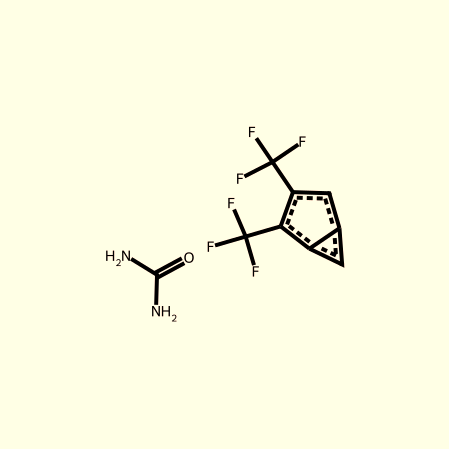 FC(F)(F)c1cc2cc-2c1C(F)(F)F.NC(N)=O